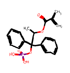 C=C(C)C(=O)OC(C)C(OP(=O)(O)O)(c1ccccc1)c1ccccc1